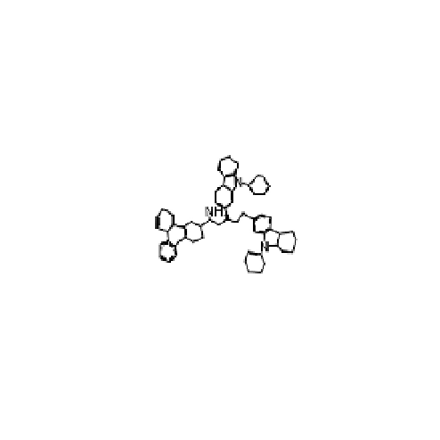 NC(CC(CCc1ccc2c(c1)N(C1=CCCCC1)C1CCCCC21)C1C=C2C(CC1)C1=C(CCCC1)N2C1CCCCC1)C1CCC2=C(C1)C1CCC=CC1c1ccccc12